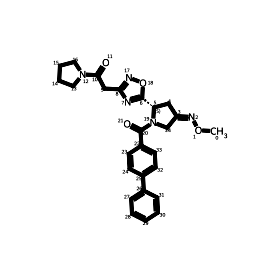 CON=C1C[C@@H](c2nc(CC(=O)N3CCCC3)no2)N(C(=O)c2ccc(-c3ccccc3)cc2)C1